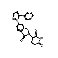 O=C1CCC(N2Cc3cc(-n4nccc4-c4ccccc4)ccc3C2=O)C(=O)N1